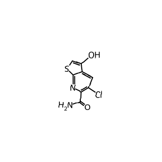 NC(=O)c1nc2scc(O)c2cc1Cl